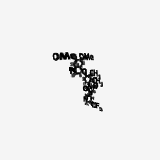 COc1cc2nccc(Oc3ccc(N4C(=O)CN(c5cncc(C(F)(F)F)c5)C4=O)c(C)c3C)c2cc1OC